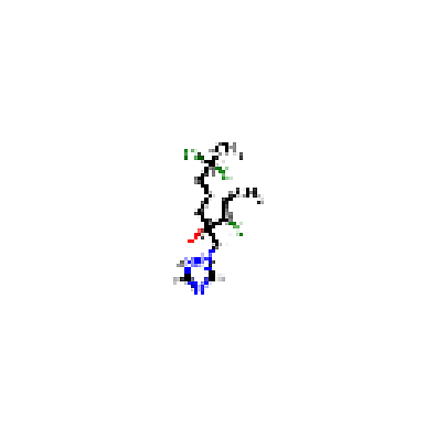 CCC(Cl)C(O)(CCCC(C)(Cl)Cl)Cn1cncn1